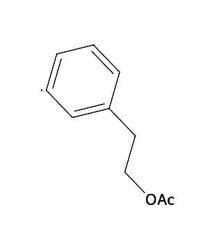 CC(=O)OCCc1c[c]ccc1